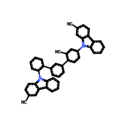 N#Cc1ccc2c(c1)c1ccccc1n2-c1ccccc1-c1cccc(-c2ccc(-n3c4ccccc4c4ccc(C#N)cc43)cc2C#N)c1